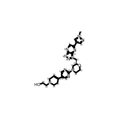 Cn1cc(-c2cnc3nnn(C[C@@H]4CN(c5ncc(C6=CCN(CCO)CC6)cn5)CCO4)c3n2)cn1